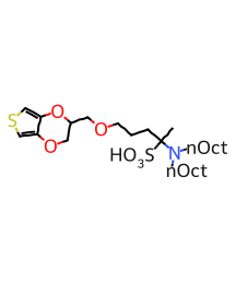 CCCCCCCCN(CCCCCCCC)C(C)(CCCOCC1COc2cscc2O1)S(=O)(=O)O